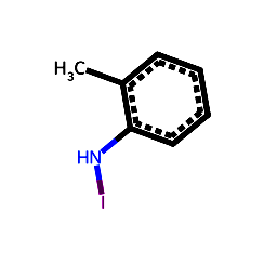 Cc1ccccc1NI